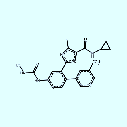 CCNC(=O)Nc1cc(-c2nc(C)c(C(=O)NC3CC3)s2)c(-c2cncc(C(=O)O)c2)cn1